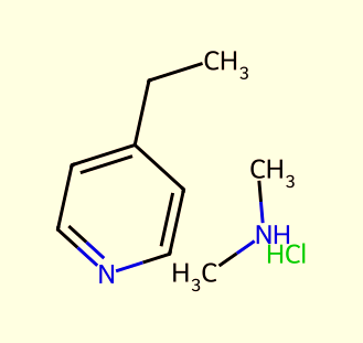 CCc1ccncc1.CNC.Cl